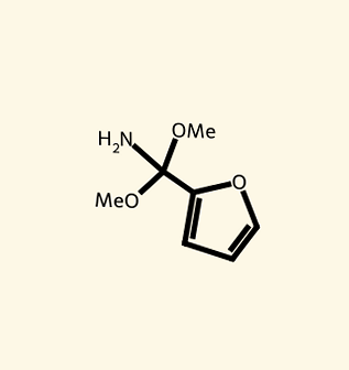 COC(N)(OC)c1ccco1